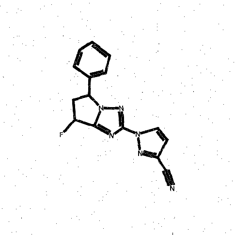 N#Cc1ccn(-c2nc3n(n2)C(c2ccccc2)CC3F)n1